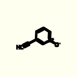 C#Cc1ccc[n+]([O-])c1